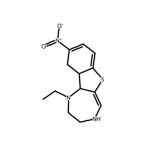 CCN1CCNC=C2SC3=CC=C([N+](=O)[O-])CC3C21